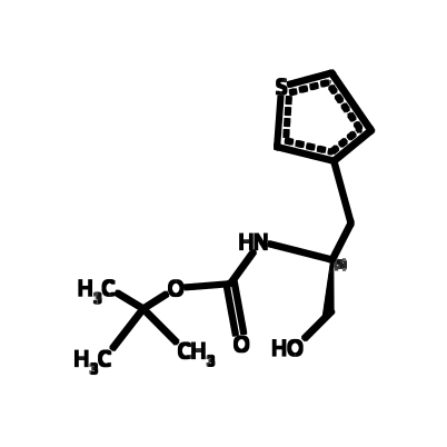 CC(C)(C)OC(=O)N[C@H](CO)Cc1ccsc1